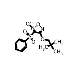 CC(C)(C)COc1no[n+]([O-])c1S(=O)(=O)c1ccccc1